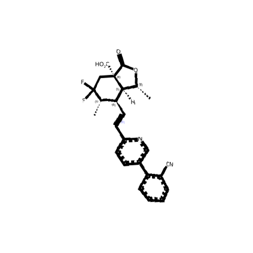 C[C@H]1OC(=O)[C@]2(C(=O)O)CC(F)(F)[C@@H](C)[C@H](/C=C/c3ccc(-c4ccccc4C#N)cn3)[C@H]12